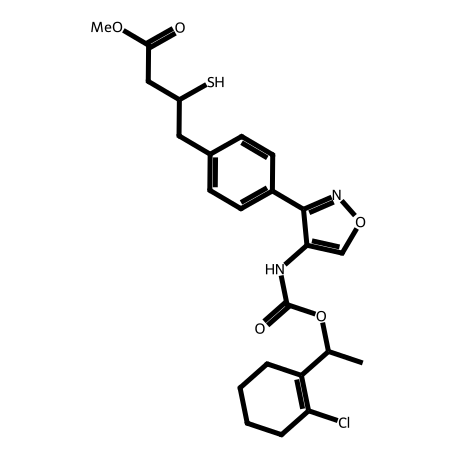 COC(=O)CC(S)Cc1ccc(-c2nocc2NC(=O)OC(C)C2=C(Cl)CCCC2)cc1